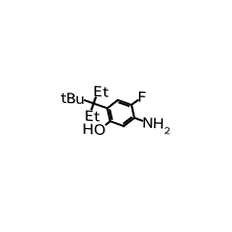 CCC(CC)(c1cc(F)c(N)cc1O)C(C)(C)C